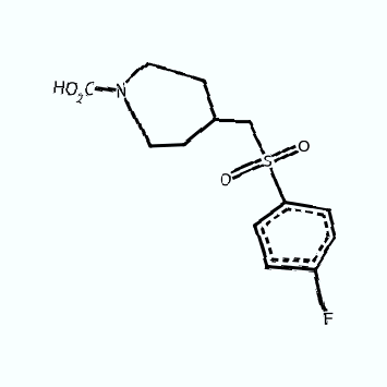 O=C(O)N1CCC(CS(=O)(=O)c2ccc(F)cc2)CC1